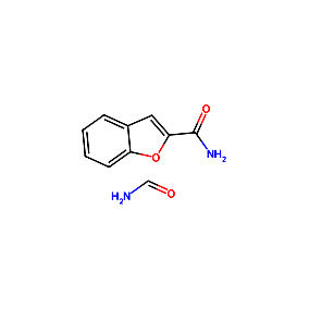 NC(=O)c1cc2ccccc2o1.NC=O